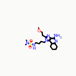 COCCc1nc2c(N)nc3c(c2n1CCCCNS(=O)(=O)N(C)C)CCCC3